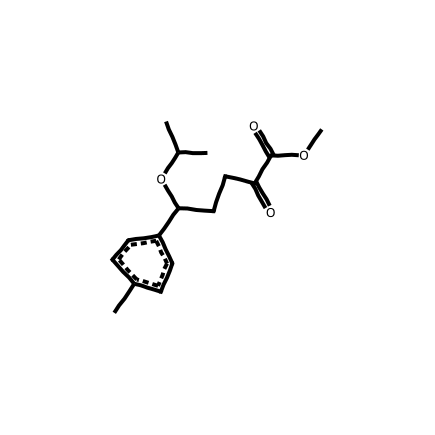 COC(=O)C(=O)CCC(OC(C)C)c1ccc(C)cc1